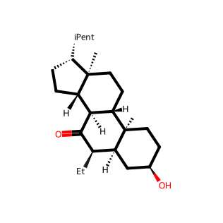 CCC[C@@H](C)[C@H]1CC[C@H]2[C@@H]3C(=O)[C@H](CC)[C@@H]4C[C@H](O)CC[C@]4(C)[C@H]3CC[C@]12C